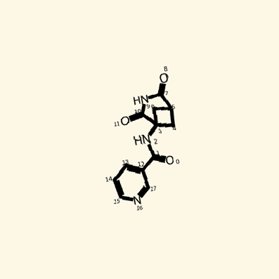 O=C(NC12CC(C1)C(=O)NC2=O)c1cccnc1